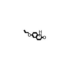 C=CCOc1ccc2[nH]c(=O)ccc2c1